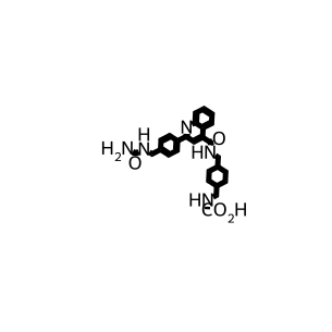 NC(=O)NCc1ccc(-c2cc(C(=O)NCC3CCC(CNC(=O)O)CC3)c3ccccc3n2)cc1